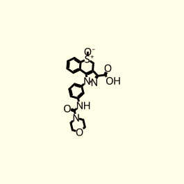 O=C(O)c1nn(-c2cccc(NC(=O)N3CCOCC3)c2)c2c1C[S+]([O-])c1ccccc1-2